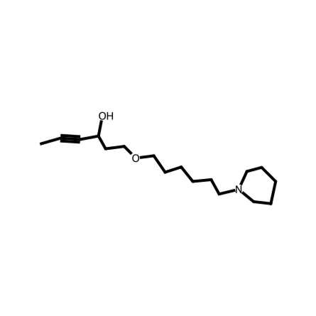 CC#CC(O)CCOCCCCCCN1CCCCC1